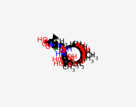 CO[C@H]1/C=C/O[C@@]2(C)Oc3c(C)c(O)c4c(O)c(c(/C=N/NC5CCN(c6c(F)cn7c(=O)c(C(=O)O)cc(C8CC8)c7c6C)C5)c(O)c4c3C2=O)NC(=O)/C(C)=C\C=C\[C@H](C)[C@H](O)[C@@H](C)[C@@H](O)[C@@H](C)[C@H](OC(C)=O)[C@@H]1C